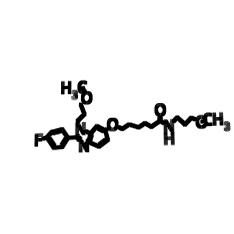 COCCCNC(=O)CCCCCOc1ccc2nc(-c3ccc(F)cc3)n(CCCOC)c2c1